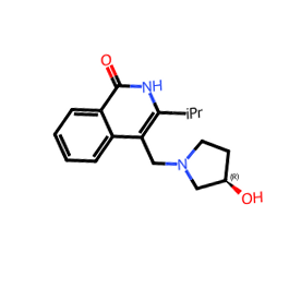 CC(C)c1[nH]c(=O)c2ccccc2c1CN1CC[C@@H](O)C1